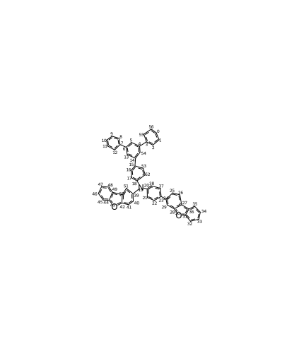 c1ccc(-c2cc(-c3ccccc3)cc(-c3ccc(N(c4ccc(-c5ccc6c(c5)oc5ccccc56)cc4)c4ccc5oc6ccccc6c5c4)cc3)c2)cc1